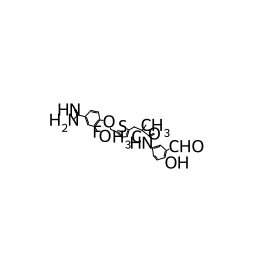 CC(C)(Cc1ccc(C(=O)Oc2ccc(C(=N)N)cc2F)s1)C(=O)Nc1ccc(O)c(C=O)c1